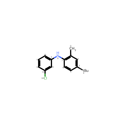 Cc1cc(C(C)(C)C)ccc1Nc1cccc(Cl)c1